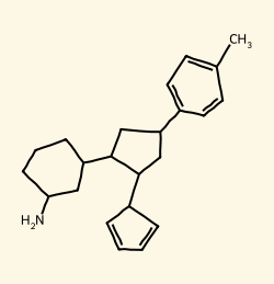 Cc1ccc(C2CC(C3C=CC=C3)C(C3CCCC(N)C3)C2)cc1